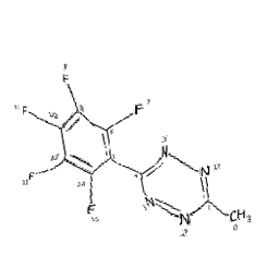 Cc1nnc(-c2c(F)c(F)c(F)c(F)c2F)nn1